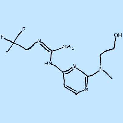 CN(CCO)c1nccc(N/C(N)=N\CC(F)(F)F)n1